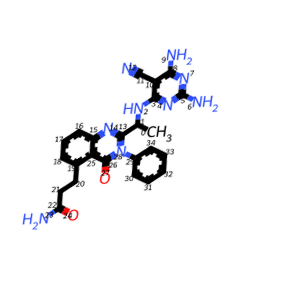 CC(Nc1nc(N)nc(N)c1C#N)c1nc2cccc(CCC(N)=O)c2c(=O)n1-c1ccccc1